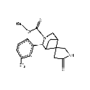 CC(C)(C)OC(=O)N1CC2CCC(C1c1cccc(C(F)(F)F)n1)C21CNC(=O)C1